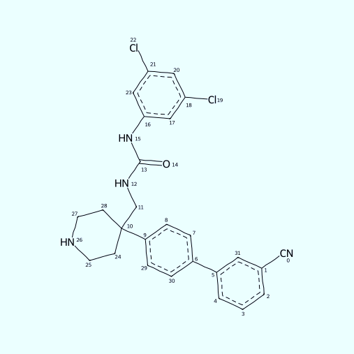 N#Cc1cccc(-c2ccc(C3(CNC(=O)Nc4cc(Cl)cc(Cl)c4)CCNCC3)cc2)c1